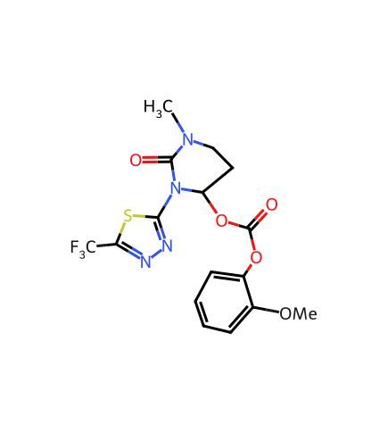 COc1ccccc1OC(=O)OC1CCN(C)C(=O)N1c1nnc(C(F)(F)F)s1